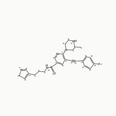 CC1CN(c2ncc(C(=O)NCCCC3=CCN=C3)cc2C#Cc2ccc(F)cc2)CCN1